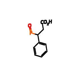 O=PC(CC(=O)O)c1ccccc1